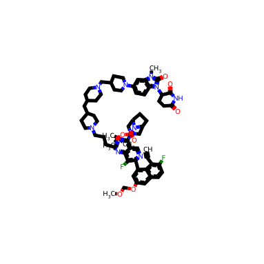 C#Cc1c(F)ccc2cc(OCOC)cc(-c3ncc4c(N5CC6CCC(C5)N6C(=O)OC(C)(C)C)nc(CCCN5CCC(CC6CCN(CC7CCN(c8ccc9c(c8)n(C)c(=O)n9C8CCC(=O)NC8=O)CC7)CC6)CC5)nc4c3F)c12